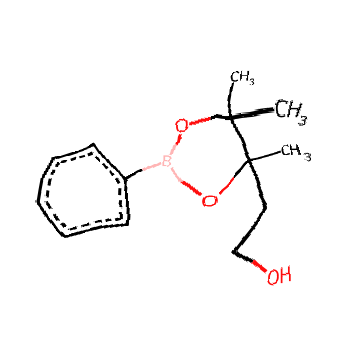 CC1(C)OB(c2ccccc2)OC1(C)CCO